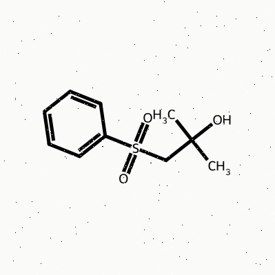 CC(C)(O)CS(=O)(=O)c1ccccc1